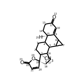 C[C@]12CCC3C(C4CC4C4=CC(=O)CC[C@@H]43)C1CC[C@@]21C=CC(=O)O1